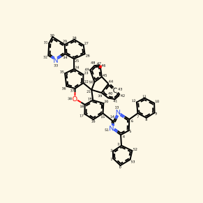 c1ccc(-c2cc(-c3ccccc3)nc(-c3ccc4c(c3)C3(c5cc(-c6cccc7cccnc67)ccc5O4)c4ccccc4-c4ccccc43)n2)cc1